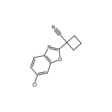 N#CC1(c2nc3ccc(Cl)cc3o2)CCC1